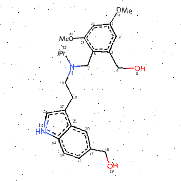 COc1cc(CO)c(CN(CCc2c[nH]c3ccc(CO)cc23)C(C)C)c(OC)c1